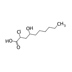 CCCCCCC(O)CC(Cl)C(=O)O